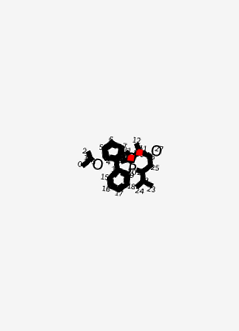 CC(C)Oc1cccc(OC(C)C)c1-c1ccccc1P1C(C(C)C)CC(=O)CC1(C)C